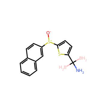 BC(B)(N)c1ccc([S+]([O-])c2ccc3ccccc3c2)s1